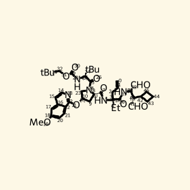 C=CC[C@@](CC)(NC(=O)[C@@H]1C[C@@H](Oc2nccc3cc(OC)ccc23)CN1C(=O)[C@@H](NC(=O)OCC(C)(C)C)C(C)(C)C)C(=O)N[C@@H](C=O)[C@@H](C=O)C1CCC1